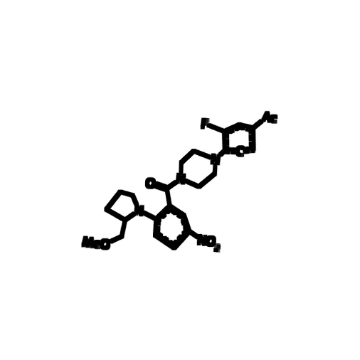 COCC1CCCN1c1ccc([N+](=O)[O-])cc1C(=O)N1CCN(c2ccc(C(C)=O)cc2F)CC1